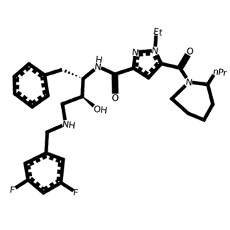 CCCC1CCCCN1C(=O)c1cc(C(=O)N[C@@H](Cc2ccccc2)[C@@H](O)CNCc2cc(F)cc(F)c2)nn1CC